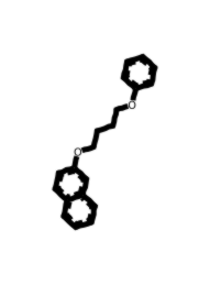 c1ccc(OCCCCOc2ccc3ccccc3c2)cc1